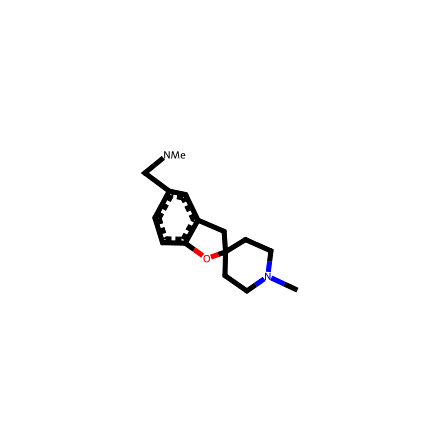 CNCc1ccc2c(c1)CC1(CCN(C)CC1)O2